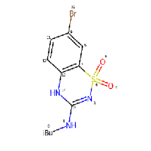 CCC(C)NC1=NS(=O)(=O)c2cc(Br)ccc2N1